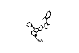 Bc1ccc2c(c1)c1cc(-c3ccc(C)c(-c4ccccc4C)c3)ccc1n2-c1ccccc1